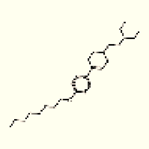 CCCCCCCCOc1ccc(C2=CCC(CCC(CC)CC)CC2)cc1